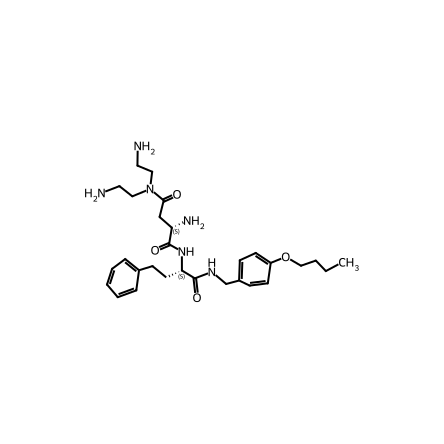 CCCCOc1ccc(CNC(=O)[C@H](CCc2ccccc2)NC(=O)[C@@H](N)CC(=O)N(CCN)CCN)cc1